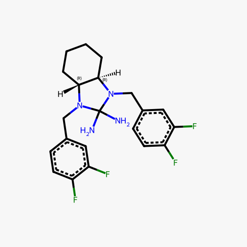 NC1(N)N(Cc2ccc(F)c(F)c2)[C@@H]2CCCC[C@H]2N1Cc1ccc(F)c(F)c1